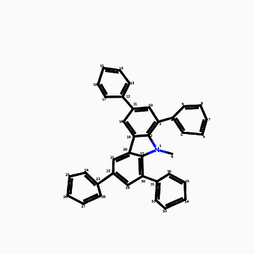 Cn1c2c(-c3ccccc3)cc(-c3ccccc3)cc2c2cc(-c3ccccc3)cc(-c3ccccc3)c21